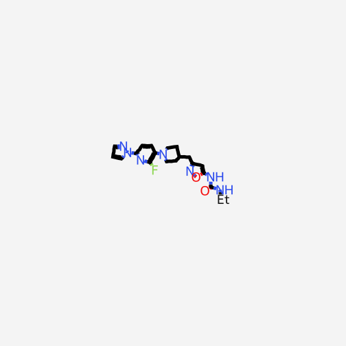 CCNC(=O)Nc1cc(CC2CCN(c3ccc(-n4cccn4)nc3F)CC2)no1